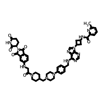 Cc1cccc(C(=O)NC2CC(n3cnc4c(NCc5ccc(N6CCN(CC7CCN(C(=O)CNc8ccc9c(c8)C(=O)N([C@H]8CCC(=O)NC8=O)C9=O)CC7)CC6)cc5)ncnc43)C2)n1